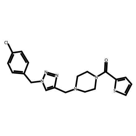 O=C(c1cccs1)N1CCN(Cc2cn(Cc3ccc(Cl)cc3)nn2)CC1